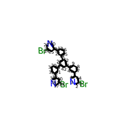 Brc1cncc(-c2cccc(-c3cc(-c4cccc(-c5cncc(Br)c5)c4)cc(-c4cccc(-c5cncc(Br)c5)c4)c3)c2)c1